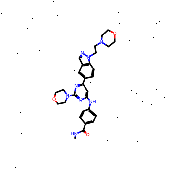 CNC(=O)c1ccc(Nc2cc(-c3ccc4c(cnn4CCN4CCOCC4)c3)nc(N3CCOCC3)n2)cc1